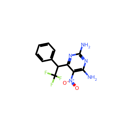 Nc1nc(N)c([N+](=O)[O-])c(C(c2ccccc2)C(F)(F)F)n1